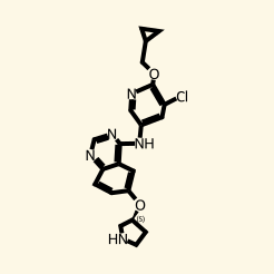 Clc1cc(Nc2ncnc3ccc(O[C@H]4CCNC4)cc23)cnc1OCC1CC1